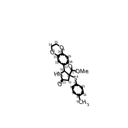 COC(=O)C1(Sc2ccc(C)cc2)CC(=O)NC1c1ccc2c(c1)OCCO2